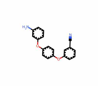 N#Cc1cccc(Oc2ccc(Oc3cccc(N)c3)cc2)c1